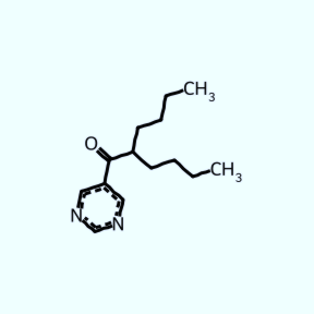 CCCCC(CCCC)C(=O)c1cncnc1